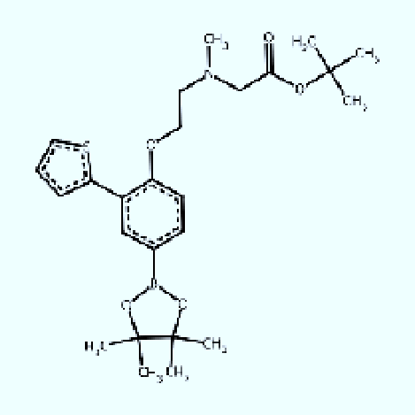 CN(CCOc1ccc(B2OC(C)(C)C(C)(C)O2)cc1-c1cccs1)CC(=O)OC(C)(C)C